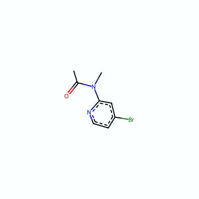 CC(=O)N(C)c1cc(Br)ccn1